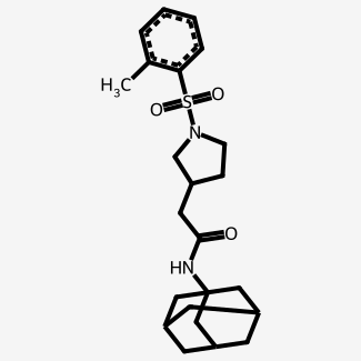 Cc1ccccc1S(=O)(=O)N1CCC(CC(=O)NC23CC4CC(CC(C4)C2)C3)C1